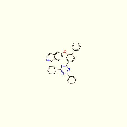 c1ccc(-c2nc(-c3ccccc3)nc(-c3ccc(-c4ccccc4)c4oc5cc6ccncc6cc5c34)n2)cc1